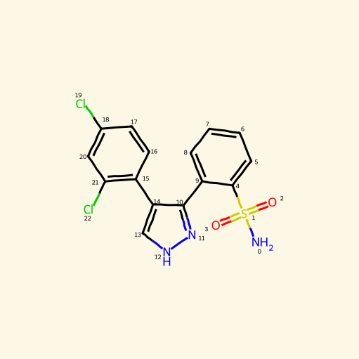 NS(=O)(=O)c1ccccc1-c1n[nH]cc1-c1ccc(Cl)cc1Cl